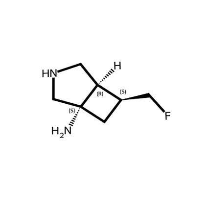 N[C@]12CNC[C@H]1[C@@H](CF)C2